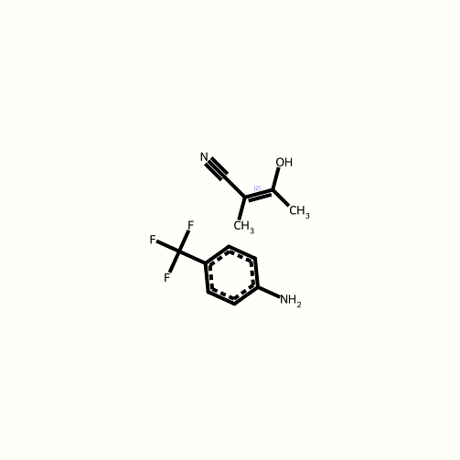 C/C(O)=C(\C)C#N.Nc1ccc(C(F)(F)F)cc1